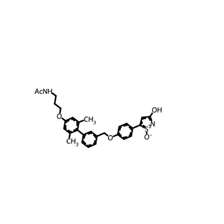 CC(=O)NCCCOc1cc(C)c(-c2cccc(COc3ccc(-c4cc(O)n[s+]4[O-])cc3)c2)c(C)c1